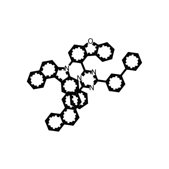 c1ccc(-c2cccc(-c3nc(-c4ccc5c(ccc6ccccc65)c4)nc(-c4c(-n5c6cc7ccccc7cc6c6c7ccccc7ccc65)ccc5oc6ccccc6c45)n3)c2)cc1